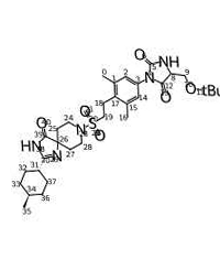 Cc1cc(N2C(=O)NC(COC(C)(C)C)C2=O)cc(C)c1CCS(=O)(=O)N1CCC2(CC1)N=C([C@H]1CC[C@H](C)CC1)NC2=O